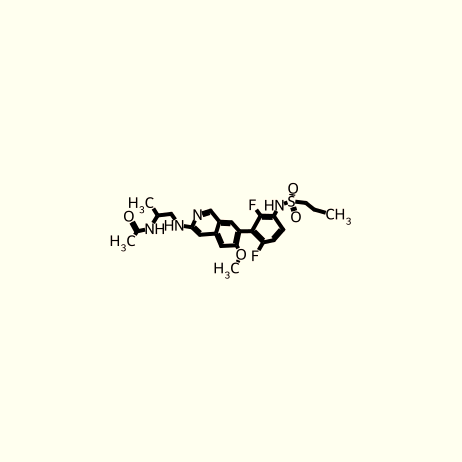 CCCS(=O)(=O)Nc1ccc(F)c(-c2cc3cnc(NCC(C)NC(C)=O)cc3cc2OC)c1F